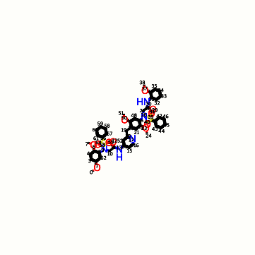 COc1ccc(OC)c(N(CC(=O)Nc2ccnc(Cc3cc(OC)c(N(CC(=O)Nc4ccccc4OC)S(=O)(=O)c4ccccc4)cc3OC)c2)S(=O)(=O)c2ccccc2)c1